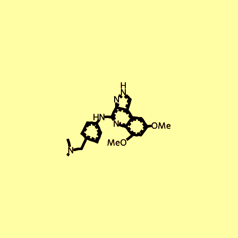 COc1cc(OC)c2nc(Nc3ccc(CN(C)C)cc3)c3n[nH]cc3c2c1